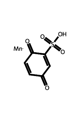 O=C1C=CC(=O)C(S(=O)(=O)O)=C1.[Mn]